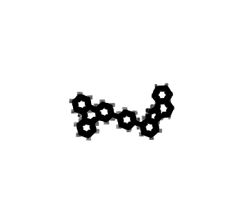 c1ccc2c(c1)ccc1c3cccc(-c4ccc(-c5ccc6c7ccccc7c7ccccc7c6c5)cc4)c3sc21